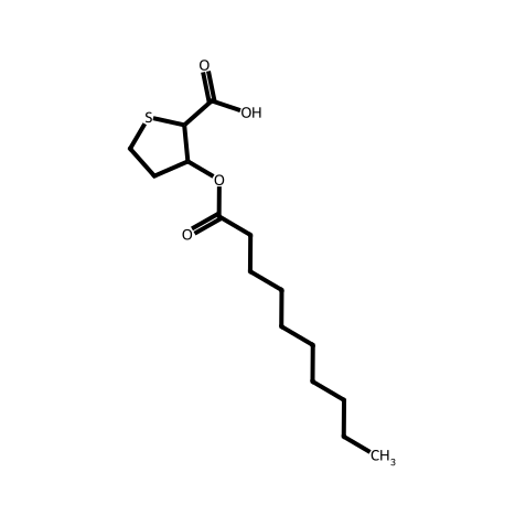 CCCCCCCCCC(=O)OC1CCSC1C(=O)O